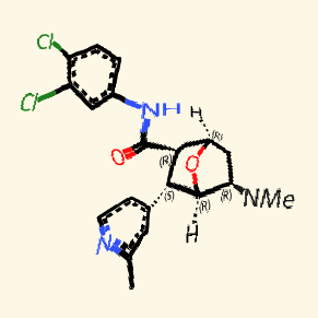 CN[C@@H]1C[C@H]2O[C@@H]1[C@H](c1ccnc(C)c1)[C@H]2C(=O)Nc1ccc(Cl)c(Cl)c1